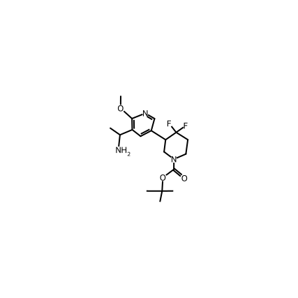 COc1ncc(C2CN(C(=O)OC(C)(C)C)CCC2(F)F)cc1C(C)N